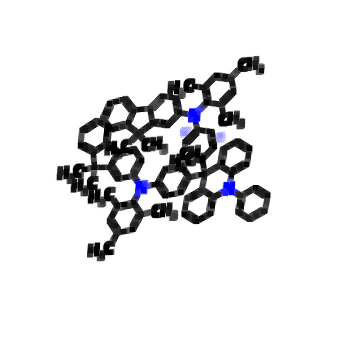 C=C(/C=C\C(=C/C)N(c1ccc2c(c1)C(C)(C)c1ccccc1-2)c1c(C)cc(C)cc1C)C1(c2ccc(N(c3ccc4c(c3)C(C)(C)c3ccccc3-4)c3c(C)cc(C)cc3C)cc2)c2ccccc2N(c2ccccc2)c2ccccc21